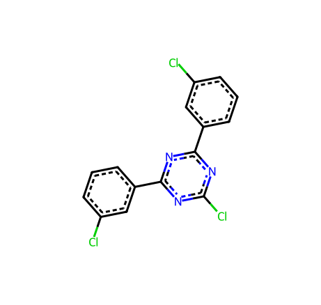 Clc1cccc(-c2nc(Cl)nc(-c3cccc(Cl)c3)n2)c1